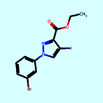 CCOC(=O)c1nn(-c2cccc(Br)c2)cc1I